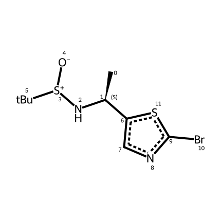 C[C@H](N[S+]([O-])C(C)(C)C)c1cnc(Br)s1